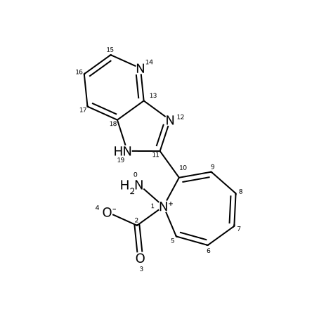 N[N+]1(C(=O)[O-])C=CC=CC=C1c1nc2ncccc2[nH]1